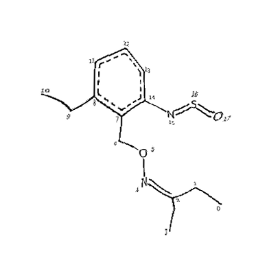 CCC(C)=NOCc1c(CC)cccc1N=S=O